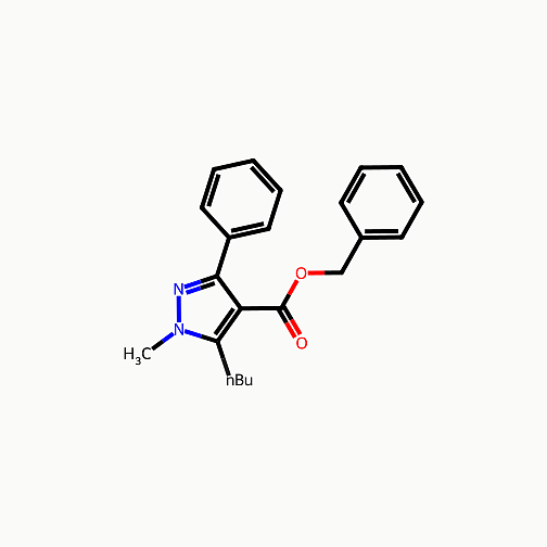 CCCCc1c(C(=O)OCc2ccccc2)c(-c2ccccc2)nn1C